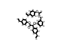 C=Cc1ccc(OC(=O)C(O)c2ccc(C=C)cc2)cc1.C=Cc1ccc(OC(C)OCc2ccccc2)cc1